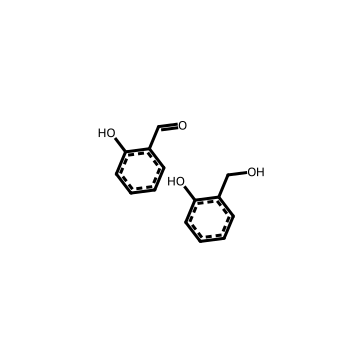 O=Cc1ccccc1O.OCc1ccccc1O